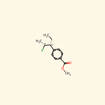 CC[C@H](c1ccc(C(=O)OC)cc1)[C@@H](C)F